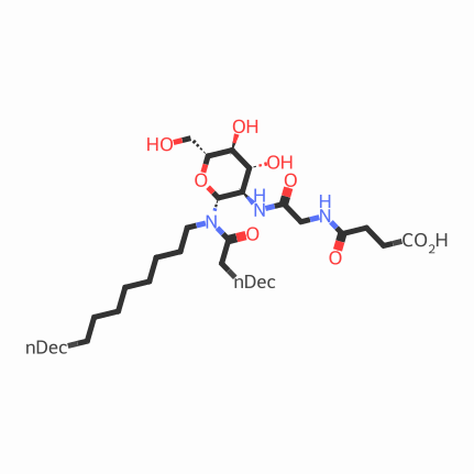 CCCCCCCCCCCCCCCCCCN(C(=O)CCCCCCCCCCC)[C@@H]1O[C@H](CO)[C@@H](O)[C@H](O)[C@H]1NC(=O)CNC(=O)CCC(=O)O